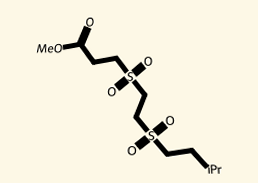 COC(=O)CCS(=O)(=O)CCS(=O)(=O)CCC(C)C